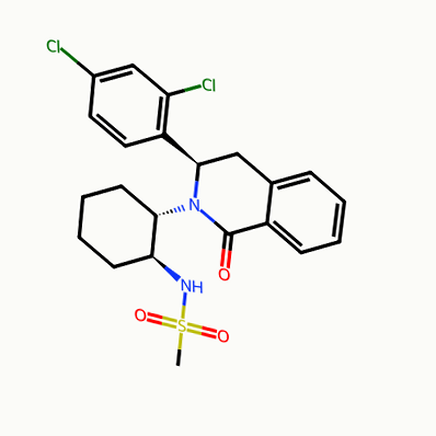 CS(=O)(=O)N[C@H]1CCCC[C@@H]1N1C(=O)c2ccccc2C[C@@H]1c1ccc(Cl)cc1Cl